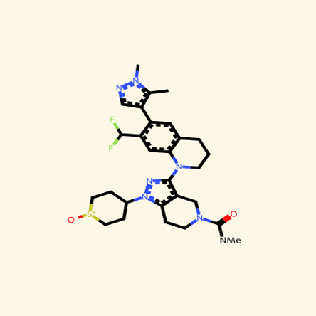 CNC(=O)N1CCc2c(c(N3CCCc4cc(-c5cnn(C)c5C)c(C(F)F)cc43)nn2C2CC[S+]([O-])CC2)C1